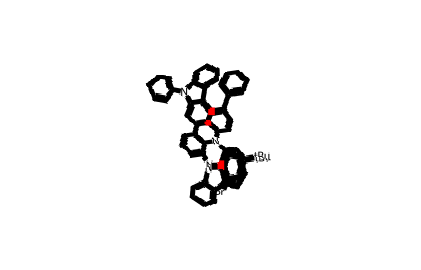 CC(C)(C)c1cc(Br)cc(N(c2ccc(-c3ccccc3)cc2)c2c(-c3ccc4c5ccccc5n(-c5ccccc5)c4c3)cccc2-n2c3ccccc3c3ccccc32)c1